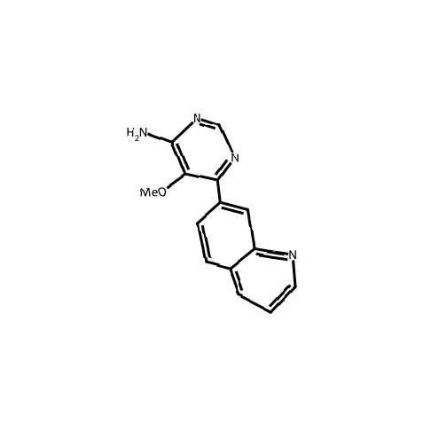 COc1c(N)ncnc1-c1ccc2cccnc2c1